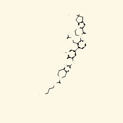 CCCCOC(=O)N1CCc2nc(Nc3cc(-c4ccnc(N5CCn6c(cc7c6CC(C)(C)C7)C5=O)c4COC(C)=O)cn(C)c3=O)sc2C1